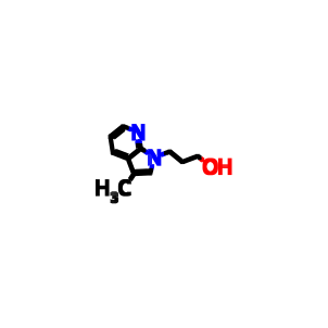 Cc1cn(CCCO)c2ncccc12